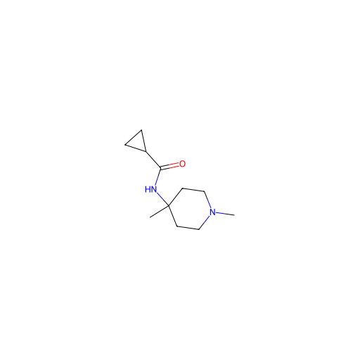 CN1CCC(C)(NC(=O)C2CC2)CC1